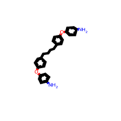 Nc1ccc(Oc2ccc(CCCCc3ccc(Oc4ccc(N)cc4)cc3)cc2)cc1